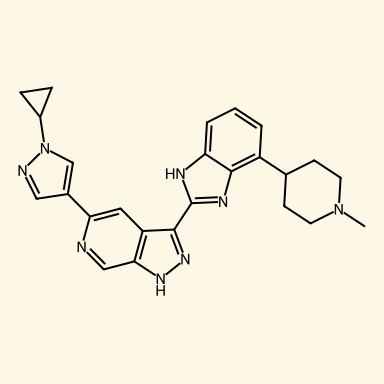 CN1CCC(c2cccc3[nH]c(-c4n[nH]c5cnc(-c6cnn(C7CC7)c6)cc45)nc23)CC1